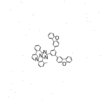 Cc1ccccc1-c1nc(-c2cc(-c3ccc4oc5ccccc5c4c3)cc(-c3ccc4oc5ccccc5c4c3)c2)nc(-c2ccccc2-c2cccnc2)n1